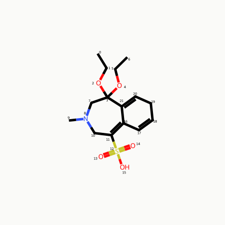 CCOC1(OCC)CN(C)CC(S(=O)(=O)O)=C2C=CCC=C21